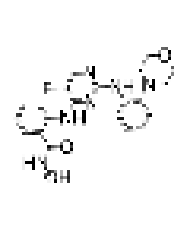 O=C(NO)c1ccccc1Nc1nc(Nc2ccccc2N2CCOCC2)ncc1F